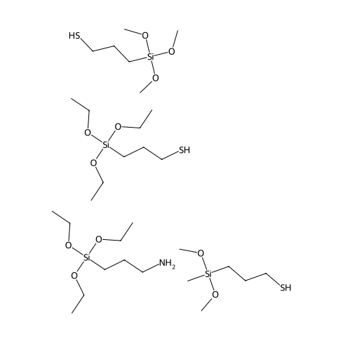 CCO[Si](CCCN)(OCC)OCC.CCO[Si](CCCS)(OCC)OCC.CO[Si](C)(CCCS)OC.CO[Si](CCCS)(OC)OC